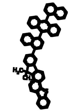 CC1(C)c2ccc(-c3ccc(-c4c5ccccc5c(-c5cccc6ccccc56)c5ccccc45)c4ccccc34)cc2-c2ccc3c(ccc4c5ccccc5sc34)c21